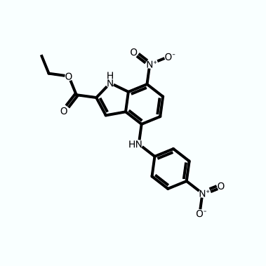 CCOC(=O)c1cc2c(Nc3ccc([N+](=O)[O-])cc3)ccc([N+](=O)[O-])c2[nH]1